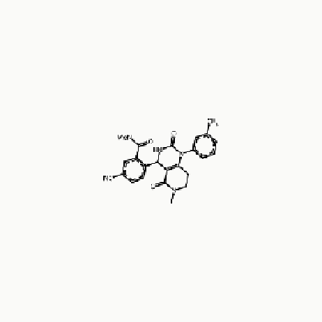 CNC(=O)c1cc(C#N)ccc1C1NC(=O)N(c2cccc(C(F)(F)F)c2)C2=C1C(=O)N(C)CC2